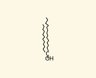 CCCCCCCCCCCC.CCCCCCCCCCCCCCCCO